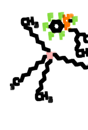 CCCCC(CC)CC[PH+](CF)c1c(F)c(F)c(F)c(F)c1F.CCCCCCCCC[B-](CCCCCCCCC)(CCCCCCCCC)CCCCCCCCC